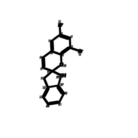 Brc1cc(Br)c2c(c1)C=CC1(Cc3ccccc3N1)O2